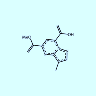 C=C(OC)c1cc(C(=C)O)n2ncc(C)c2n1